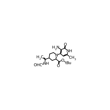 C=C(NC=O)C1CCN(c2cc(C)[nH]c(=O)c2N)C(C(=O)OC(C)(C)C)C1